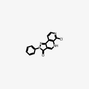 O=c1c2c[nH]c3c(Cl)nccc3c-2nn1-c1ccccc1